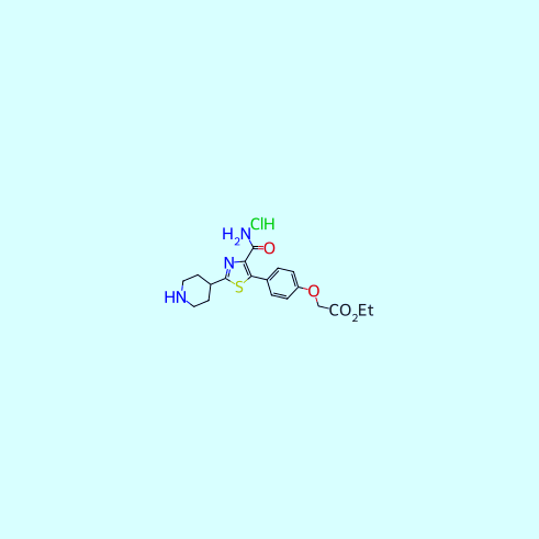 CCOC(=O)COc1ccc(-c2sc(C3CCNCC3)nc2C(N)=O)cc1.Cl